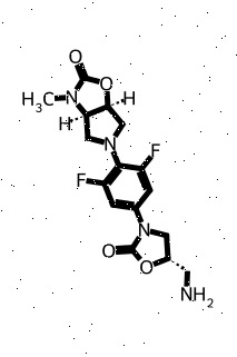 CN1C(=O)O[C@H]2CN(c3c(F)cc(N4C[C@H](CN)OC4=O)cc3F)C[C@H]21